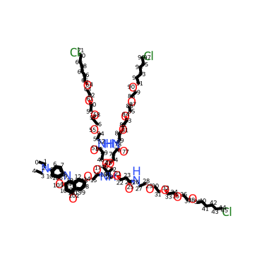 CCN(CC)c1ccc2nc3c4cc(OCC(=O)NC(COCCC(=O)NCCOCCOCCOCCOCCCCCCCl)(COCCC(=O)NCCOCCOCCOCCOCCCCCCCl)COCCC(=O)NCCOCCOCCOCCOCCCCCCCl)ccc4c(=O)cc-3oc2c1